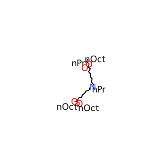 CCCCCCCCC(CCC)OC(=O)CCCCCCCN(CCC)CCCCCCCC(=O)OC(CCCCCCCC)CCCCCCCC